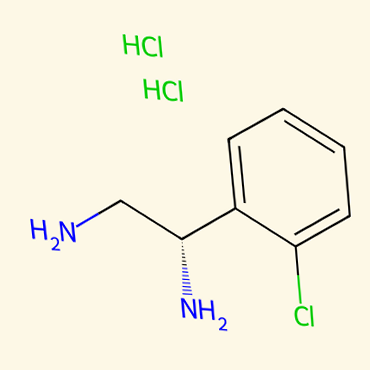 Cl.Cl.NC[C@@H](N)c1ccccc1Cl